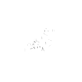 CCCCCCCCCc1cc2c3c(cccc3c1)C(=O)N(OS(=O)(=O)C(F)(F)F)C2=O